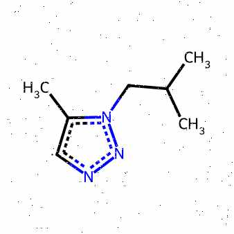 Cc1[c]nnn1CC(C)C